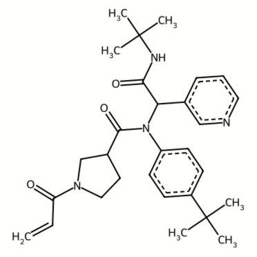 C=CC(=O)N1CCC(C(=O)N(c2ccc(C(C)(C)C)cc2)C(C(=O)NC(C)(C)C)c2cccnc2)C1